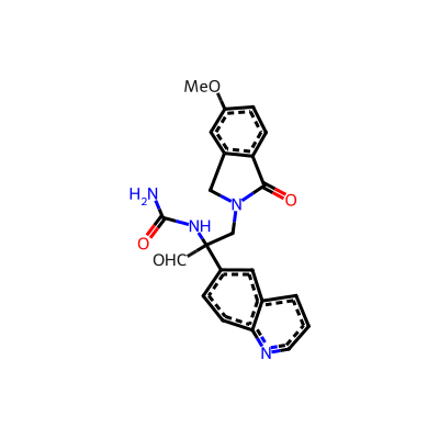 COc1ccc2c(c1)CN(CC(C=O)(NC(N)=O)c1ccc3ncccc3c1)C2=O